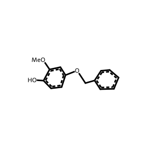 COc1cc(OCc2ccccc2)ccc1O